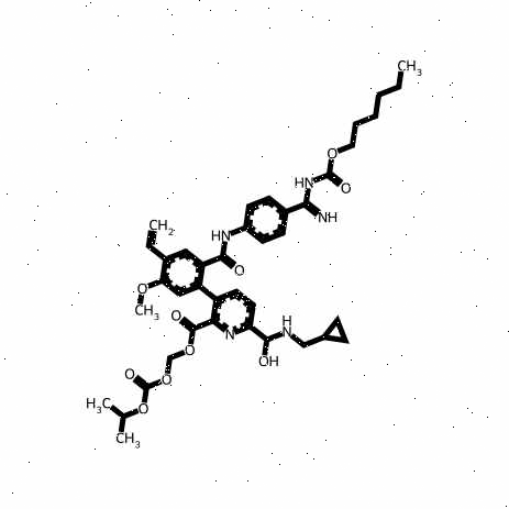 C=Cc1cc(C(=O)Nc2ccc(C(=N)NC(=O)OCCCCCC)cc2)c(-c2ccc(C(O)NCC3CC3)nc2C(=O)OCOC(=O)OC(C)C)cc1OC